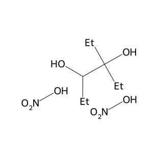 CCC(O)C(O)(CC)CC.O=[N+]([O-])O.O=[N+]([O-])O